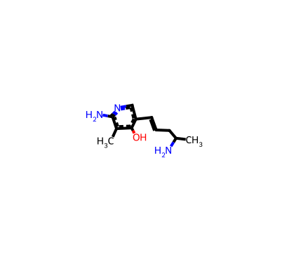 Cc1c(N)ncc(/C=C/CC(C)N)c1O